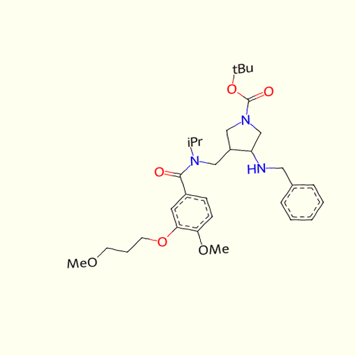 COCCCOc1cc(C(=O)N(CC2CN(C(=O)OC(C)(C)C)CC2NCc2ccccc2)C(C)C)ccc1OC